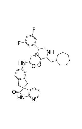 O=C(CN1C(=O)C(CC2CCCCCC2)NCC1c1cc(F)cc(F)c1)Nc1ccc2c(c1)CC1(C2)C(=O)Nc2ncccc21